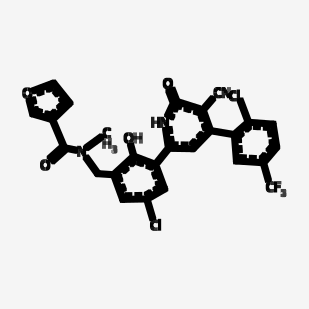 CN(Cc1cc(Cl)cc(-c2cc(-c3cc(C(F)(F)F)ccc3Cl)c(C#N)c(=O)[nH]2)c1O)C(=O)c1ccoc1